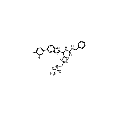 NS(=O)(=O)NCc1nnc(C(NC(=O)NCc2ccccc2)c2nc3ccc(C4=CC=C(F)NC4)cc3s2)o1